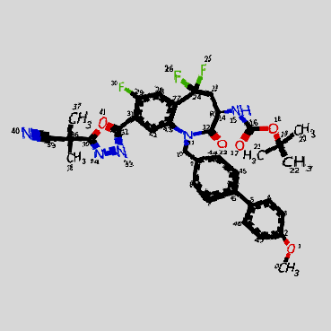 COc1ccc(-c2ccc(CN3C(=O)[C@H](NC(=O)OC(C)(C)C)CC(F)(F)c4cc(F)c(-c5nnc(C(C)(C)C#N)o5)cc43)cc2)cc1